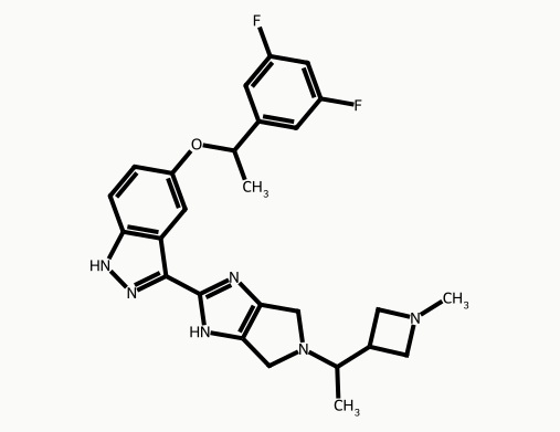 CC(Oc1ccc2[nH]nc(-c3nc4c([nH]3)CN(C(C)C3CN(C)C3)C4)c2c1)c1cc(F)cc(F)c1